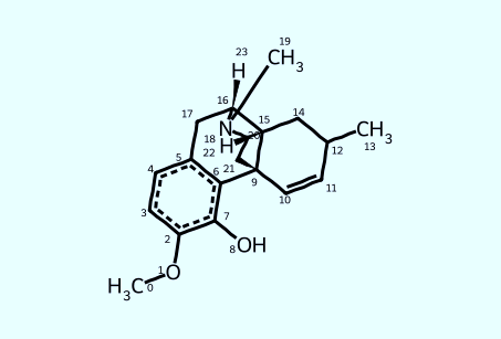 COc1ccc2c(c1O)[C@@]13C=CC(C)C[C@H]1[C@@H](C2)N(C)CC3